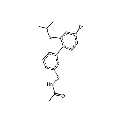 CC(=O)NSc1cc[c]c(-c2ccc(Br)cc2SC(C)C)c1